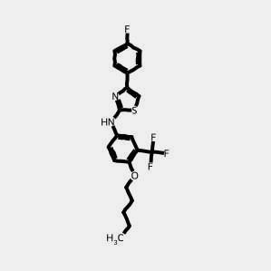 CCCCCOc1ccc(Nc2nc(-c3ccc(F)cc3)cs2)cc1C(F)(F)F